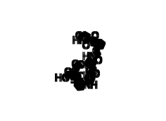 O=C(O)COc1c(C(=O)O)sc(-c2cccc(NC3CCN(S(=O)(=O)Cc4cccc(NC(=O)COc5cccc6c5CN(C5CCC(=O)NC5=O)C6=O)c4)CC3)c2)c1Cl